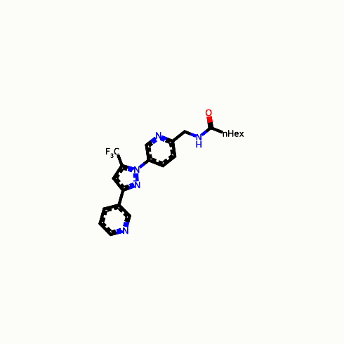 CCCCCCC(=O)NCc1ccc(-n2nc(-c3cccnc3)cc2C(F)(F)F)cn1